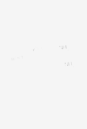 CCCCCCCCC1(CCCCCCCC)c2ccccc2-c2cc(N)c(N)cc21